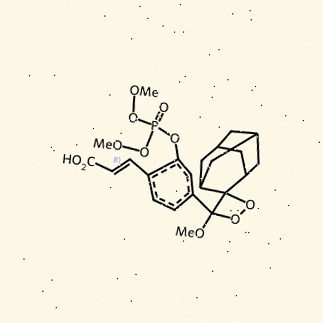 COOP(=O)(OOC)Oc1cc(C2(OC)OOC23C2CC4CC(C2)CC3C4)ccc1/C=C/C(=O)O